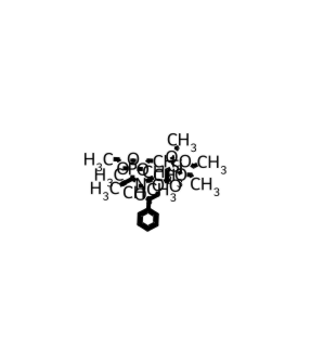 CCO[Si](CC(=O)OCC(ON(C(C(C)(C)C)P(=O)(OCC)OCC)C(C)(C)C)c1ccccc1)(OCC)OCC